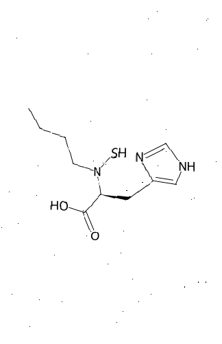 CCCCN(S)[C@@H](Cc1c[nH]cn1)C(=O)O